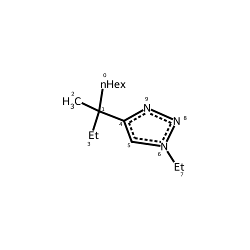 CCCCCCC(C)(CC)c1cn(CC)nn1